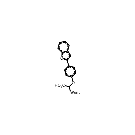 CCCCCC(Oc1ccc(-c2cc3ccccc3o2)cc1)C(=O)O